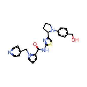 O=C(Nc1nc(C2CCCN2c2ccc(CO)cc2)cs1)c1cccn1Cc1ccncc1